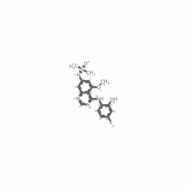 COc1cc(N=S(C)(C)=O)cc2ncnc(Nc3ccc(F)cc3O)c12